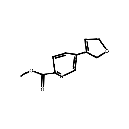 COC(=O)c1ccc(C2=CCOC2)cn1